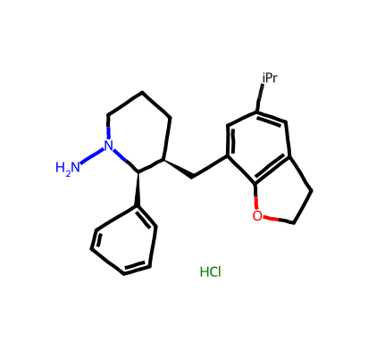 CC(C)c1cc2c(c(C[C@@H]3CCCN(N)[C@@H]3c3ccccc3)c1)OCC2.Cl